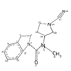 CN(C(=O)N1CCc2ccccc21)C1CCN(C#N)C1